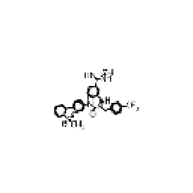 CS(=O)(=O)c1ccccc1-c1ccc(NC(=O)N(Cc2ccc(C(F)(F)F)cc2)Nc2cccc(C(=N)NO)c2)cc1